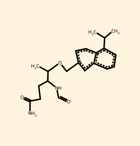 CC(C)c1cccc2cc(COC(C)C(CCC(N)=O)NC=O)ccc12